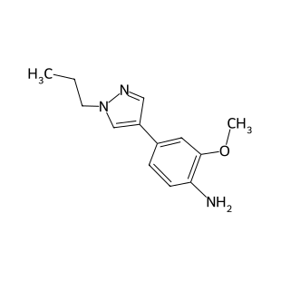 CCCn1cc(-c2ccc(N)c(OC)c2)cn1